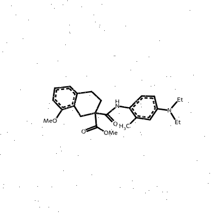 CCN(CC)c1ccc(NC(=O)C2(C(=O)OC)CCc3cccc(OC)c3C2)c(C)c1